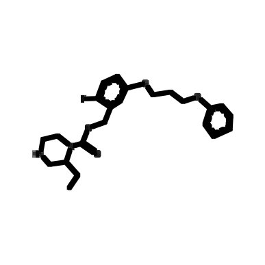 CCC1CNCCN1C(=O)OCc1cc(OCCCOc2ccccc2)ccc1F